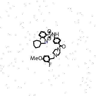 COc1ccc(CN2CCN(C(=O)c3ccc(NS(=O)(=O)c4cccc(C)c4/N=C\C4CCCCCC4)cc3)CC2)c(F)c1